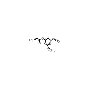 C=CC(=O)OC(CCN=C=O)OC(=O)C=C